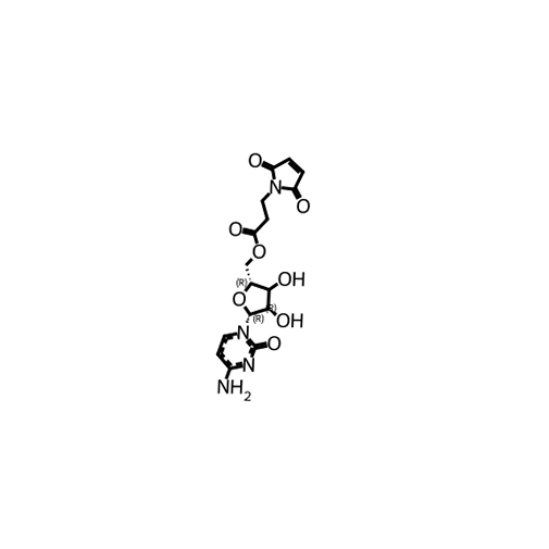 Nc1ccn([C@@H]2O[C@H](COC(=O)CCN3C(=O)C=CC3=O)C(O)[C@H]2O)c(=O)n1